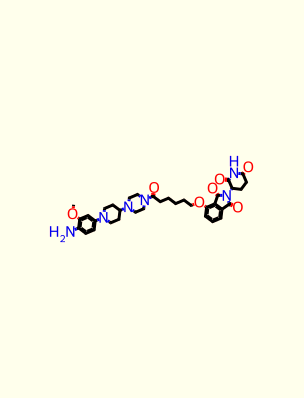 COc1cc(N2CCC(N3CCN(C(=O)CCCCCOc4cccc5c4C(=O)N(C4CCC(=O)NC4=O)C5=O)CC3)CC2)ccc1N